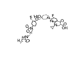 CC(=O)NC[C@H]1CN(c2ccc(OCC3(O)CCCN(c4nc5c(cc4F)C(=O)C(C(=O)O)CN5C4CC4)CC3)c(F)c2)C(=O)O1